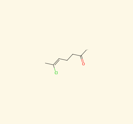 [CH2]C(=O)CCC=C(C)Cl